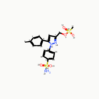 Cc1ccc(-c2cc(COS(C)(=O)=O)nn2-c2ccc(S(N)(=O)=O)cc2)cc1